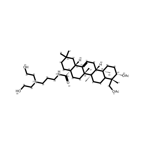 CC(=O)OC[C@]1(C)C2CC[C@]3(C)[C@H](CC=C4[C@H]5CC(C)(C)CC[C@]5(C(=O)NCCCN(CCO)CCO)CC[C@]43C)[C@@]2(C)CC[C@@H]1OC(C)=O